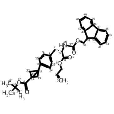 C=CCOC(=O)[C@H](Cc1ccc(C23CC(C(=O)OC(C)(C)C)(C2)C3)cc1)NC(=O)OCC1c2ccccc2-c2ccccc21